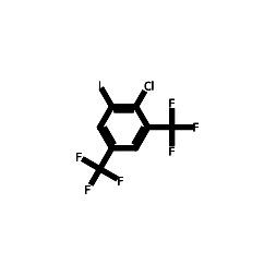 FC(F)(F)c1cc(I)c(Cl)c(C(F)(F)F)c1